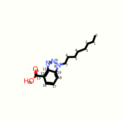 CCCCCCCCn1nnc2c(C(=O)O)cccc21